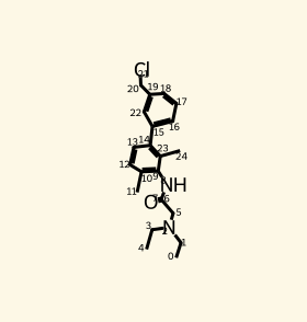 CCN(CC)CC(=O)Nc1c(C)ccc(-c2cccc(CCl)c2)c1C